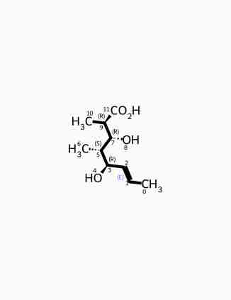 C/C=C/[C@@H](O)[C@H](C)[C@@H](O)[C@@H](C)C(=O)O